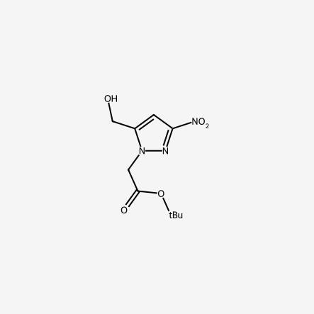 CC(C)(C)OC(=O)Cn1nc([N+](=O)[O-])cc1CO